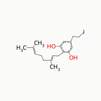 CC(C)=CCC/C(C)=C/Cc1c(O)cc(CCI)cc1O